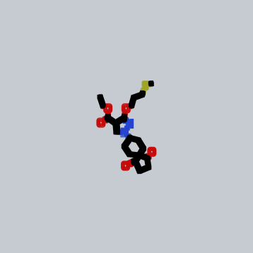 CCOC(=O)c1cn(C2CCC3(CC2)C(=O)CCC3=O)nc1OCCCSC